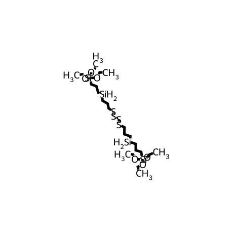 CCO[Si](CCC[SiH2]CCCSSSSCCC[SiH2]CCC[Si](OCC)(OCC)OCC)(OCC)OCC